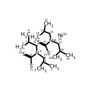 CC(C)CN(CC(C)C)C(=S)[S-].CC(C)CN(CC(C)C)C(=S)[S-].[Ni+2]